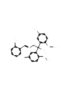 CCCCOc1ccc(C(C)(C)C)cc1C(O)(c1cc(C(C)(C)C)ccc1OCCCC)[C@@H](C)N=Cc1ccccc1O